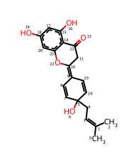 CC(C)=CCC1(O)C=CC(=C2CC(=O)c3c(O)cc(O)cc3O2)C=C1